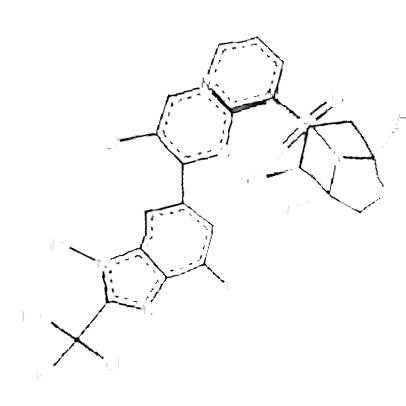 CC(C)n1c(C(C)(C)O)nc2c(F)cc(-c3nc(N[C@@H]4C[C@H]5OC[C@@H]([C@H]4O)N5S(=O)(=O)c4cccnc4)ncc3Cl)cc21